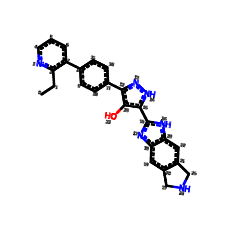 CCc1ncccc1-c1ccc(-c2n[nH]c(-c3nc4cc5c(cc4[nH]3)CNC5)c2O)cc1